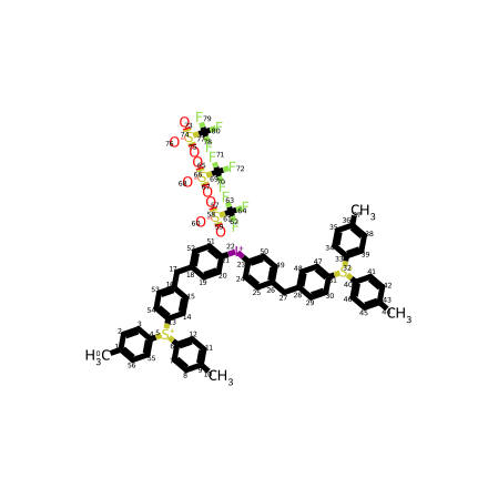 Cc1ccc([S+](c2ccc(C)cc2)c2ccc(Cc3ccc([I+]c4ccc(Cc5ccc([S+](c6ccc(C)cc6)c6ccc(C)cc6)cc5)cc4)cc3)cc2)cc1.O=S(=O)([O-])C(F)(F)F.O=S(=O)([O-])C(F)(F)F.O=S(=O)([O-])C(F)(F)F